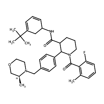 Cc1cccc(F)c1C(=O)N1CCCC(C(=O)NC2C=CC=C(C(C)(C)C)C2)C1c1ccc(CN2CCOC[C@@H]2C)cc1